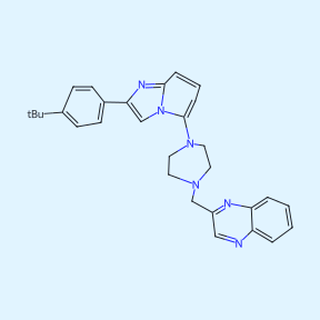 CC(C)(C)c1ccc(-c2cn3c(N4CCN(Cc5cnc6ccccc6n5)CC4)cccc3n2)cc1